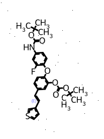 CC(C)(C)OC(=O)Nc1ccc(Oc2ccc(/C=C/c3ccsc3)cc2OC(=O)OC(C)(C)C)c(F)c1